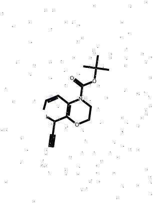 C#CC(I)C1=C(/C=C\C)N(C(=O)OC(C)(C)C)CCO1